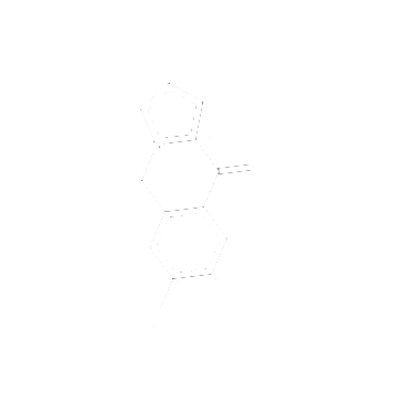 O=C1c2ccc(Cl)cc2Cn2cccc21